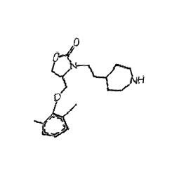 Cc1cccc(C)c1OCC1COC(=O)N1CCC1CCNCC1